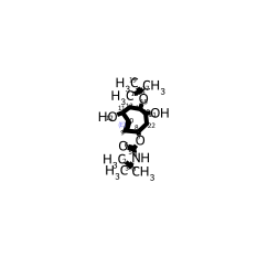 CC(C)(C)NC(=O)OC1/C=C/C(O)CC(OC(C)(C)C)C(O)C1